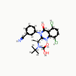 C[C@@H](c1nc2c(Cl)ccc(Cl)c2c(=O)n1-c1cccc(C#N)c1)N(C(=O)O)C(C)(C)C